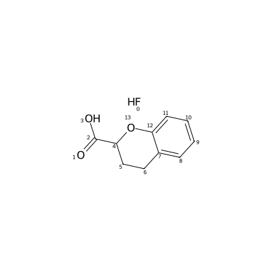 F.O=C(O)C1CCc2ccccc2O1